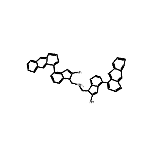 CCCC1=Cc2c(-c3cccc4cc5ccccc5cc34)cccc2C1C[SiH2]CC1C(CCC)=Cc2c(-c3cccc4cc5ccccc5cc34)cccc21